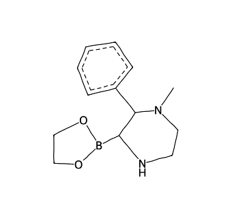 CN1CCNC(B2OCCO2)C1c1ccccc1